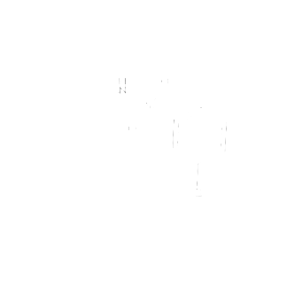 [CH2]CNS(=O)(=O)c1cccc(Cl)c1